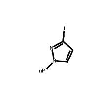 CCCn1ccc(I)n1